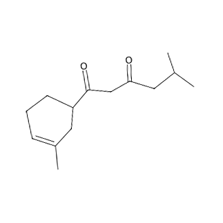 CC1=CCCC(C(=O)CC(=O)CC(C)C)C1